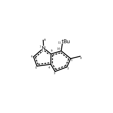 Cc1ccc2ccn(C)c2c1C(C)(C)C